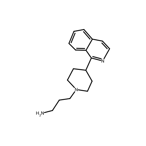 NCCCN1CCC(c2nccc3ccccc23)CC1